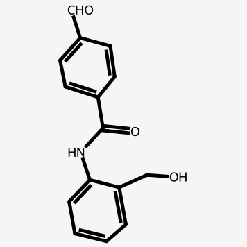 O=Cc1ccc(C(=O)Nc2ccccc2CO)cc1